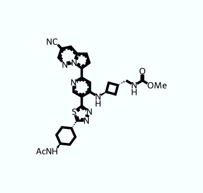 COC(=O)NC[C@H]1C[C@H](Nc2cc(-c3ccc4cc(C#N)cnn34)ncc2-c2nnc([C@H]3CC[C@H](NC(C)=O)CC3)s2)C1